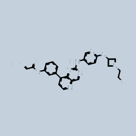 C=CC(=O)Nc1cccc(-c2ccnc3cnc(Nc4ccc(NC5CN(CCF)C5)nc4)nc23)c1